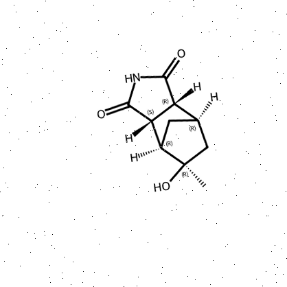 C[C@@]1(O)C[C@H]2C[C@@H]1[C@@H]1C(=O)NC(=O)[C@H]21